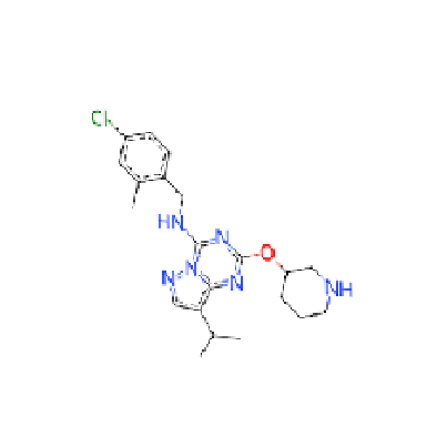 Cc1cc(Cl)ccc1CNc1nc(OC2CCCNC2)nc2c(C(C)C)cnn12